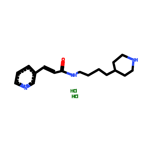 Cl.Cl.O=C(C=Cc1cccnc1)NCCCCC1CCNCC1